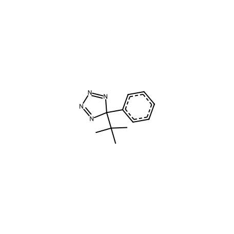 CC(C)(C)C1(c2ccccc2)N=NN=N1